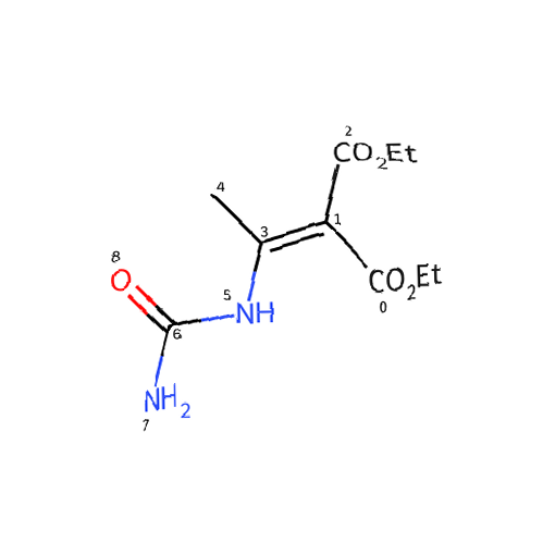 CCOC(=O)C(C(=O)OCC)=C(C)NC(N)=O